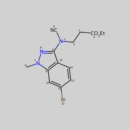 CCOC(=O)CCN(C#N)c1nn(C)c2cc(Br)ccc12